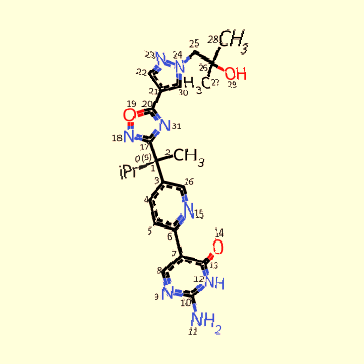 CC(C)[C@@](C)(c1ccc(-c2cnc(N)[nH]c2=O)nc1)c1noc(-c2cnn(CC(C)(C)O)c2)n1